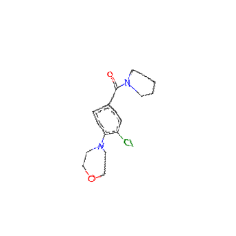 O=C(c1ccc(N2CCOCC2)c(Cl)c1)N1CCCC1